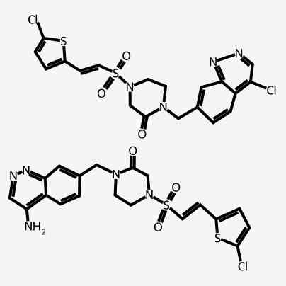 Nc1cnnc2cc(CN3CCN(S(=O)(=O)C=Cc4ccc(Cl)s4)CC3=O)ccc12.O=C1CN(S(=O)(=O)C=Cc2ccc(Cl)s2)CCN1Cc1ccc2c(Cl)cnnc2c1